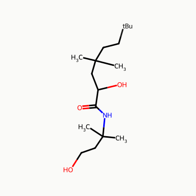 CC(C)(C)CCC(C)(C)CC(O)C(=O)NC(C)(C)CCO